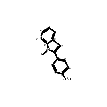 Cn1c(-c2ccc(C(C)(C)C)cc2)cc2cccnc21